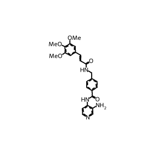 COc1cc(/C=C/C(=O)NCc2ccc(C(=O)Nc3ccncc3N)cc2)cc(OC)c1OC